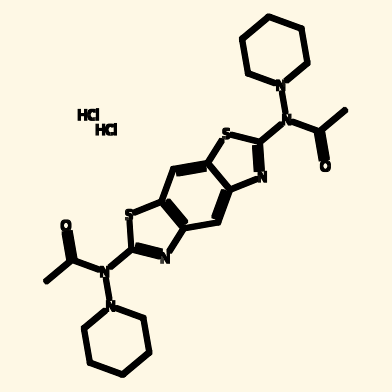 CC(=O)N(c1nc2cc3nc(N(C(C)=O)N4CCCCC4)sc3cc2s1)N1CCCCC1.Cl.Cl